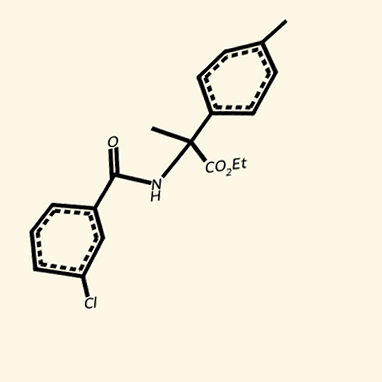 CCOC(=O)C(C)(NC(=O)c1cccc(Cl)c1)c1ccc(C)cc1